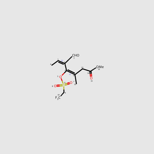 C/C=C(C=O)\C(OS(=O)(=O)CC(F)(F)F)=C(\C)CC(=O)OC